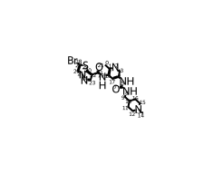 Cc1ncc(NC(=O)NCC2CCN(C)CC2)cc1NC(=O)c1cnn2cc(Br)sc12